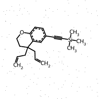 C=CCC1(CC=C)CCOc2ccc(C#C[Si](C)(C)C)cc21